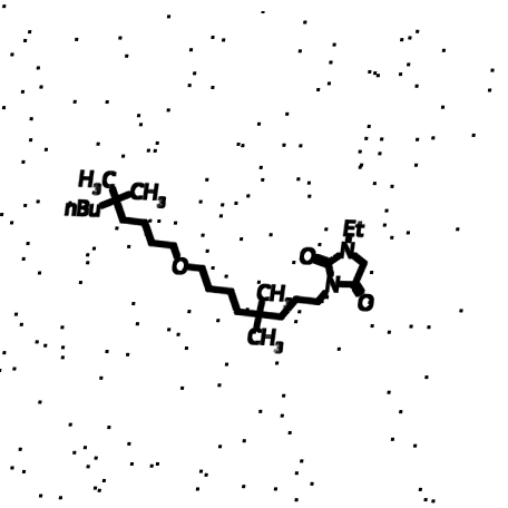 CCCCC(C)(C)CCCCOCCCCC(C)(C)CCCN1C(=O)CN(CC)C1=O